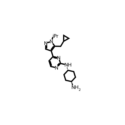 CC(C)n1ncc(-c2ccnc(N[C@H]3CC[C@H](N)CC3)n2)c1CC1CC1